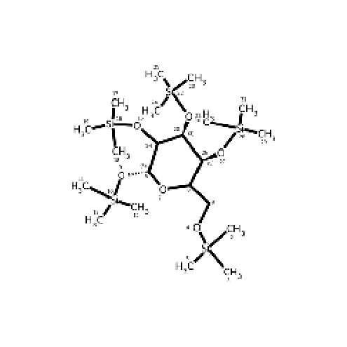 C[Si](C)(C)OCC1O[C@H](O[Si](C)(C)C)C(O[Si](C)(C)C)[C@@H](O[Si](C)(C)C)[C@H]1O[Si](C)(C)C